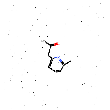 Cc1cccc(CC(=O)C(C)C)n1